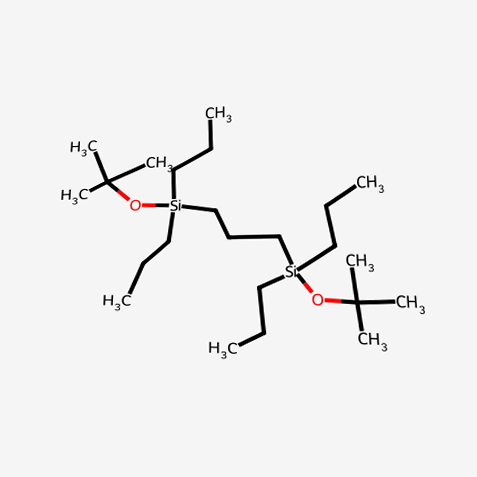 CCC[Si](CCC)(CCC[Si](CCC)(CCC)OC(C)(C)C)OC(C)(C)C